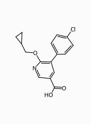 O=C(O)c1cnc(OCC2CC2)c(-c2ccc(Cl)cc2)c1